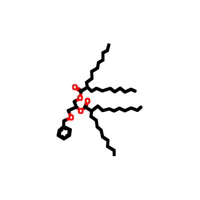 CCCCCCCCCC(CCCCCCCCC)C(=O)OCC(COCc1ccccc1)OC(=O)C(CCCCCCCCC)CCCCCCCCC